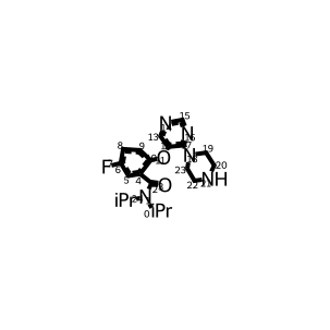 CC(C)N(C(=O)c1cc(F)ccc1Oc1cncnc1N1CCNCC1)C(C)C